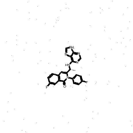 C[C@@H](Nc1ncnc2[nH]cnc12)c1cc2ccc(F)cc2c(=O)n1-c1ccc(F)cc1